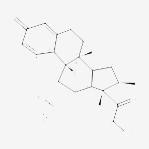 CC(=O)[O-].C[C@@H]1CC2[C@H]3CCC4=CC(=O)C=C[C@]4(C)[C@@]3(F)[C@@H](O)C[C@]2(C)[C@@]1(O)C(=O)CO.[Na+]